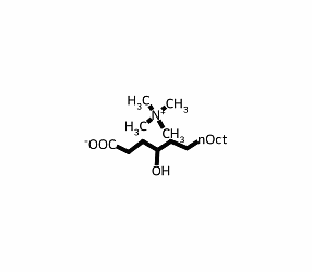 CCCCCCCCCCC(O)CCC(=O)[O-].C[N+](C)(C)C